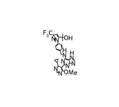 COc1ncnc(C2CC2)c1-c1nc(NCc2ccc(-n3nc(C(F)(F)F)cc3C(C)(C)O)cc2)c2[nH]cnc2n1